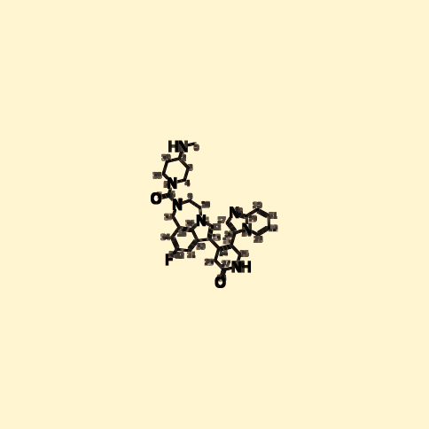 CNC1CCN(C(=O)N2CCn3cc(C4=C(c5cnc6ccccn56)CNC(=O)C4)c4cc(F)cc(c43)C2)CC1